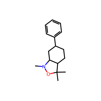 CN1OC(C)(C)C2CCC(c3ccccc3)CC21